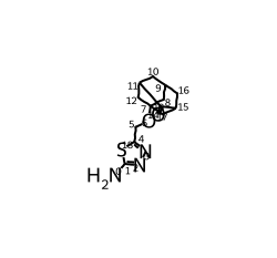 Nc1nnc(COC23CC4CC(C2)C(=O)C(C4)C3)s1